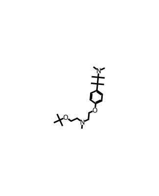 CN(CCOc1ccc(C(C)(C)C(C)(C)N(C)C)cc1)CCOC(C)(C)C